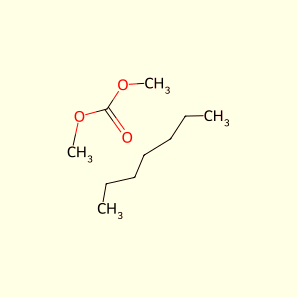 CCCCCCC.COC(=O)OC